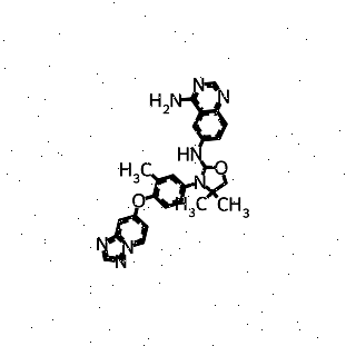 Cc1cc(N2C(Nc3ccc4ncnc(N)c4c3)OCC2(C)C)ccc1Oc1ccn2ncnc2c1